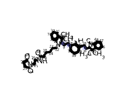 C[N+]1=C(/C=C/C2=CC(=C/C=C3/N(CCCCCC(=O)NCCN4C(=O)C=CC4=O)c4ccccc4C3(C)C)/CCC2)C(C)(C)c2ccccc21